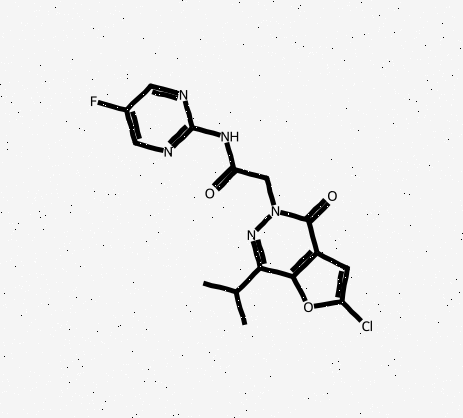 CC(C)c1nn(CC(=O)Nc2ncc(F)cn2)c(=O)c2cc(Cl)oc12